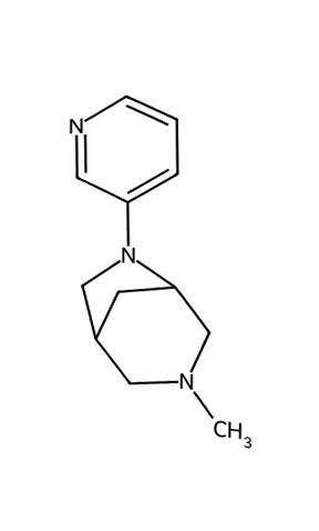 CN1CC2CC(C1)N(c1cccnc1)C2